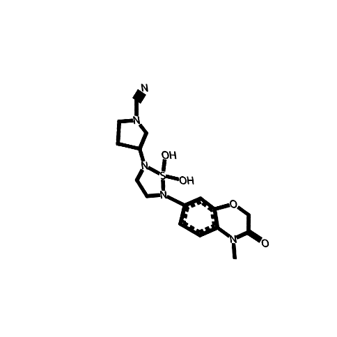 CN1C(=O)COc2cc(N3CCN(C4CCN(C#N)C4)S3(O)O)ccc21